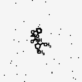 CCC1CN(C)CCC1NC(=O)C1(Oc2ccccc2Cl)CC1